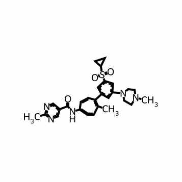 CC1=C(c2cc(N3CCN(C)CC3)cc(S(=O)(=O)C3CC3)c2)C=CC(NC(=O)c2cnc(C)nc2)=C=C1